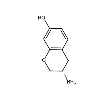 N[C@@H]1COc2cc(O)ccc2C1